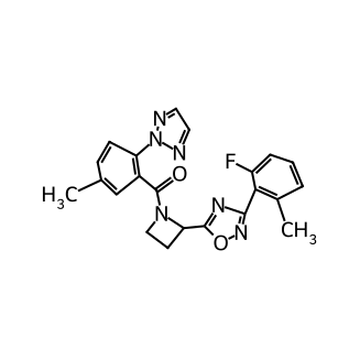 Cc1ccc(-n2nccn2)c(C(=O)N2CCC2c2nc(-c3c(C)cccc3F)no2)c1